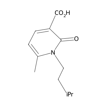 Cc1ccc(C(=O)O)c(=O)n1CCC(C)C